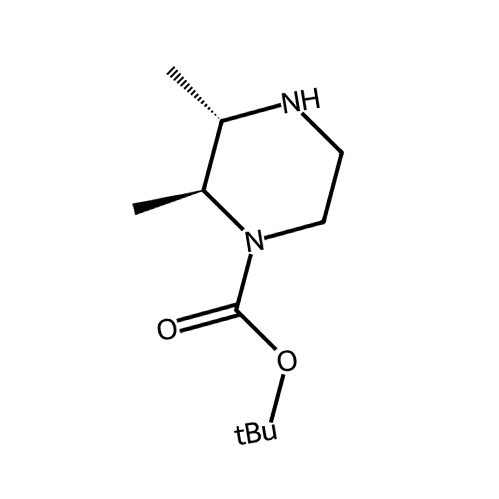 C[C@@H]1NCCN(C(=O)OC(C)(C)C)[C@H]1C